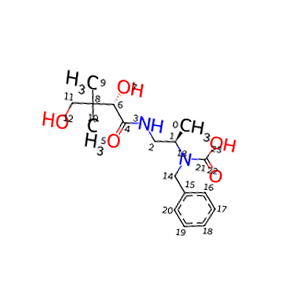 C[C@H](CNC(=O)[C@@H](O)C(C)(C)CO)N(Cc1ccccc1)C(=O)O